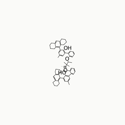 Cc1cc(-c2ccccc2OC(C)C(C)(C)[C@@H](C)Oc2ccccc2-c2cc(C)cc(-c3c4c(cc5c3CCCC5)CCCC4)c2O)c(O)c(-c2c3c(cc4c2CCCC4)CCCC3)c1